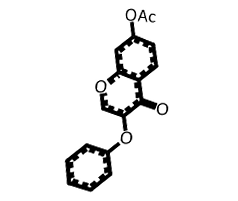 CC(=O)Oc1ccc2c(=O)c(Oc3ccccc3)coc2c1